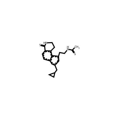 CC(=S)NCCc1cc(CC2CC2)cc2ccc3c(c12)CCNC3=S